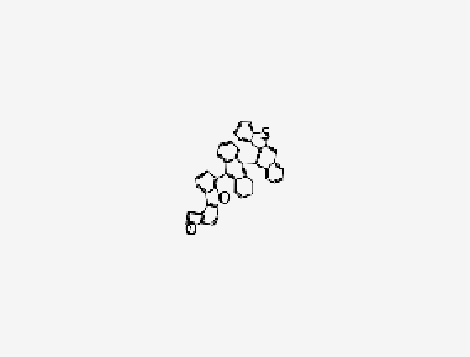 c1ccc2c(-c3c4ccccc4c(-c4cccc5c4oc4ccc6occc6c45)c4ccccc34)c3c(cc2c1)sc1ccccc13